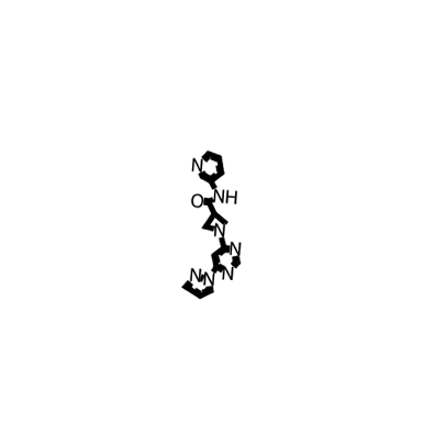 O=C(Nc1cccnc1)C1CN(c2cc(-n3cccn3)ncn2)C1